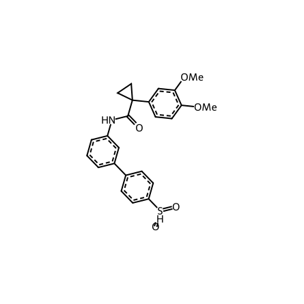 COc1ccc(C2(C(=O)Nc3cccc(-c4ccc([SH](=O)=O)cc4)c3)CC2)cc1OC